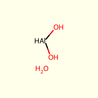 O.[OH][AlH][OH]